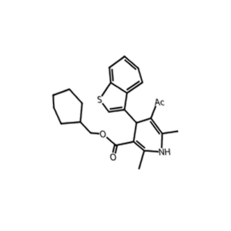 CC(=O)C1=C(C)NC(C)=C(C(=O)OCC2CCCCC2)C1c1csc2ccccc12